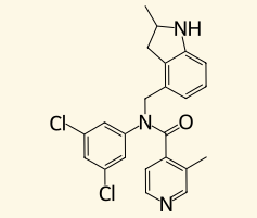 Cc1cnccc1C(=O)N(Cc1cccc2c1CC(C)N2)c1cc(Cl)cc(Cl)c1